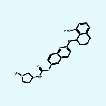 COc1cccc2c1C(Nc1ccc3cc(NC(=O)N[C@H]4CCN(C)C4)ccc3n1)CCC2